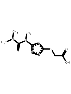 CN(C)C(=O)N(C)c1nnc(SCC(=O)O)s1